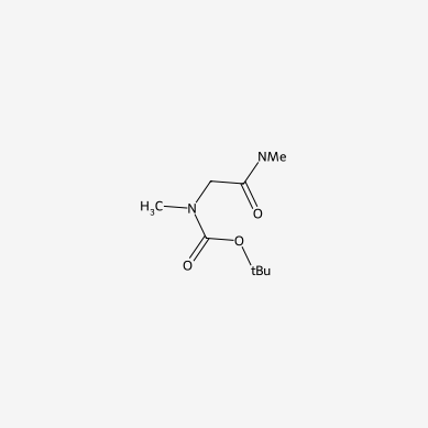 CNC(=O)CN(C)C(=O)OC(C)(C)C